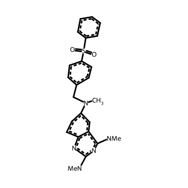 CNc1nc(NC)c2cc(N(C)Cc3ccc(S(=O)(=O)c4ccccc4)cc3)ccc2n1